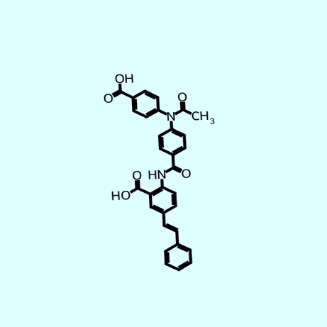 CC(=O)N(c1ccc(C(=O)O)cc1)c1ccc(C(=O)Nc2ccc(C=Cc3ccccc3)cc2C(=O)O)cc1